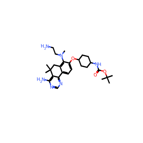 CN(CCN)c1c(OC2CCC(NC(=O)OC(C)(C)C)CC2)ccc2c1CC(C)(C)c1c(N)ncnc1-2